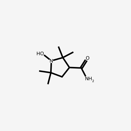 CC1(C)CC(C(N)=O)C(C)(C)N1O